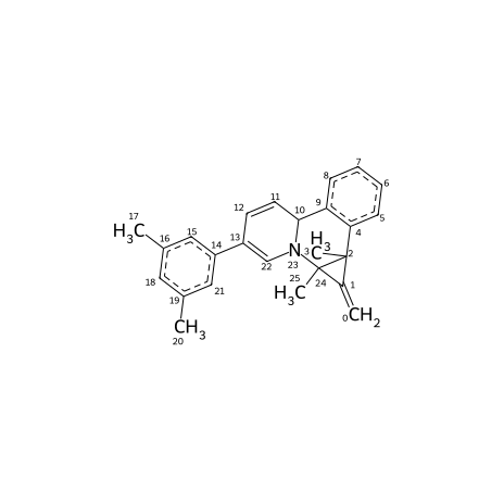 C=C1C2(C)c3ccccc3C3C=CC(c4cc(C)cc(C)c4)=CN3C12C